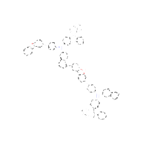 c1ccc2c(c1)-c1cc(N(c3ccc(-c4ccc5c(c4)oc4ccc(-c6cccc7cc(N(c8ccc(-c9ccc%10oc%11ccccc%11c%10c9)cc8)c8ccc9c(c8)-c8ccccc8C98C9CC%10CC(C9)CC8C%10)ccc67)cc45)cc3)c3ccc4ccccc4c3)ccc1C21C2CC3CC(C2)CC1C3